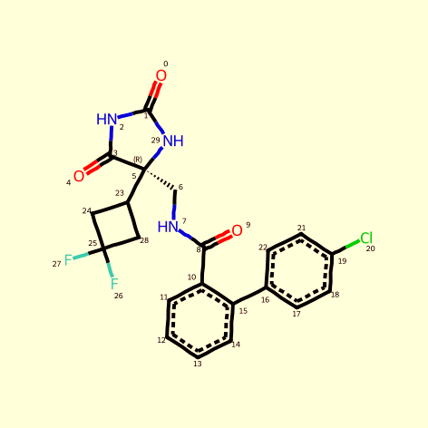 O=C1NC(=O)[C@](CNC(=O)c2ccccc2-c2ccc(Cl)cc2)(C2CC(F)(F)C2)N1